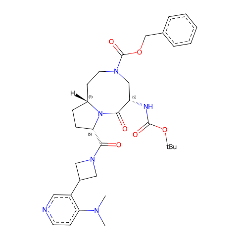 CN(C)c1ccncc1C1CN(C(=O)[C@@H]2CC[C@@H]3CCN(C(=O)OCc4ccccc4)C[C@H](NC(=O)OC(C)(C)C)C(=O)N32)C1